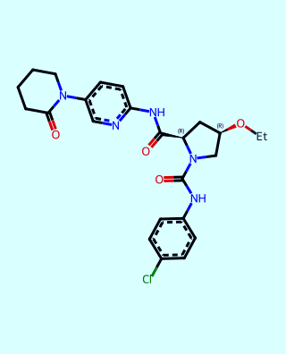 CCO[C@@H]1C[C@H](C(=O)Nc2ccc(N3CCCCC3=O)cn2)N(C(=O)Nc2ccc(Cl)cc2)C1